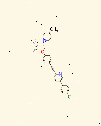 CC1CCN([C@H](COc2ccc(C#Cc3ccc(-c4ccc(Cl)cc4)cn3)cc2)C(C)C)CC1